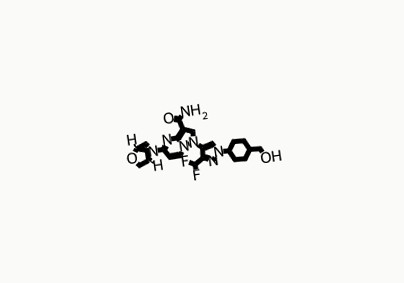 NC(=O)C1=C2N=C(N3C[C@H]4C[C@@H]3CO4)C=CN2N(c2cn(C3CCC(CO)CC3)nc2C(F)F)C1